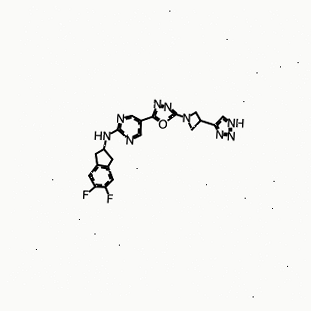 Fc1cc2c(cc1F)CC(Nc1ncc(-c3nnc(N4CC(c5c[nH]nn5)C4)o3)cn1)C2